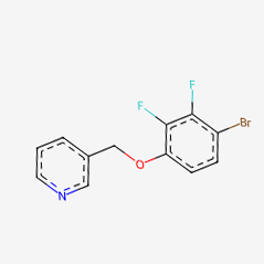 Fc1c(Br)ccc(OCc2cccnc2)c1F